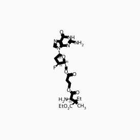 CCOC(=O)[C@](C)(CC)[C@H](N)C(=O)OCCC(=O)OC[C@H]1O[C@@H](n2cnc3c(=O)[nH]c(N)nc32)C[C@@H]1F